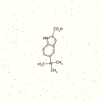 C[N+](C)(C)c1ccc2[nH]c(C(=O)O)cc2c1